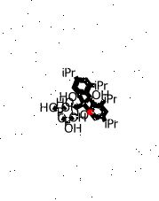 CC(C)c1ccc(C(O)(c2ccc(C(C)C)cc2C(C)C)C(CO)(CO)CO)c(C(C)C)c1.OP(O)OP(O)O